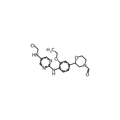 CCOc1cc(C2CN(C=O)CCO2)ccc1Nc1ncc(NCCl)cn1